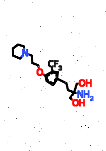 NC(CO)(CO)CCc1ccc(OCCCN2CCCCC2)c(C(F)(F)F)c1